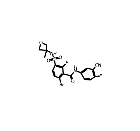 CC1(NS(=O)(=O)c2ccc(Br)c(C(=O)Nc3ccc(F)c(C#N)c3)c2F)COC1